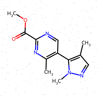 COC(=O)c1ncc(-c2c(C)cnn2C)c(C)n1